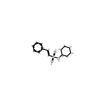 O=S(=O)(C=Cc1ccccc1)OC1CCCCC1